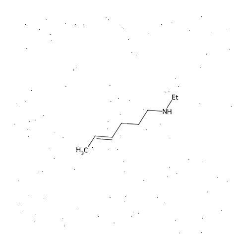 CC=CCCCNCC